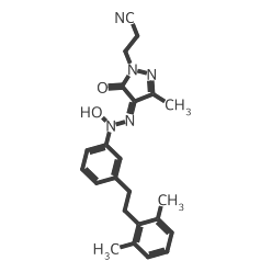 CC1=NN(CCC#N)C(=O)C1=NN(O)c1cccc(CCc2c(C)cccc2C)c1